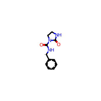 O=C(N[CH]c1ccccc1)N1CCNC1=O